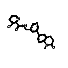 CN1C(=O)CCc2cc(-c3cncc(CNC(=O)c4ncccc4Cl)c3)ccc21